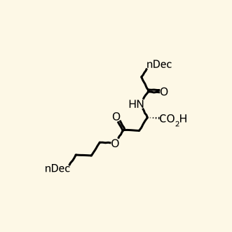 CCCCCCCCCCCCCOC(=O)C[C@H](NC(=O)CCCCCCCCCCC)C(=O)O